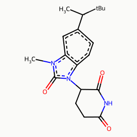 C[C](c1ccc2c(c1)n(C)c(=O)n2C1CCC(=O)NC1=O)C(C)(C)C